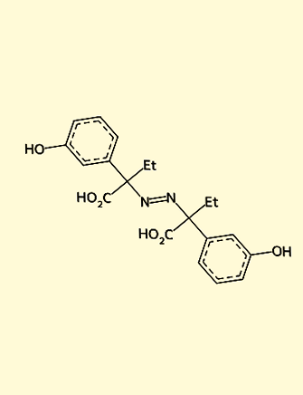 CCC(N=NC(CC)(C(=O)O)c1cccc(O)c1)(C(=O)O)c1cccc(O)c1